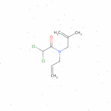 C=CCN(CC(=C)C)C(=O)C(Cl)Cl